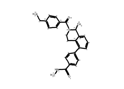 CNC(=O)c1ccc(-c2cccc3c2CCN(C(=O)c2ccc(CN)cc2)C3C)cc1